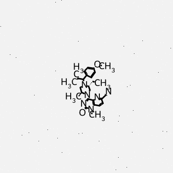 CC[C@@H]1CN(c2nc(=O)n(C)c3ccc(C#N)nc23)[C@@H](C)CN1C(c1ccc(OC)cc1)C(C)C